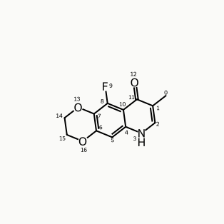 Cc1c[nH]c2cc3c(c(F)c2c1=O)OCCO3